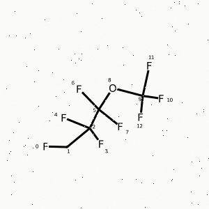 FCC(F)(F)C(F)(F)OC(F)(F)F